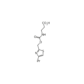 CC(C)c1csc(COC(=O)NCCC(=O)O)n1